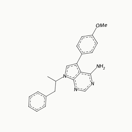 COc1ccc(-c2cn(C(C)Cc3ccccc3)c3ncnc(N)c23)cc1